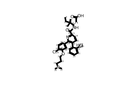 CCC(C)(C)[C@H](CC(=O)O)NC(=O)c1ccc(-c2ccccc2Cl)c(-c2ccc(Cl)c(OCCCN(C)C)c2)n1.Cl